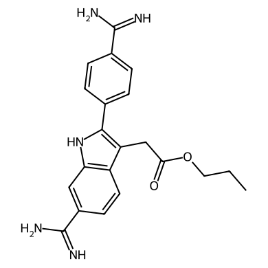 CCCOC(=O)Cc1c(-c2ccc(C(=N)N)cc2)[nH]c2cc(C(=N)N)ccc12